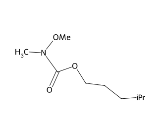 CON(C)C(=O)OCCCC(C)C